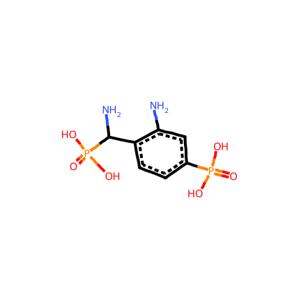 Nc1cc(P(=O)(O)O)ccc1C(N)P(=O)(O)O